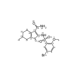 COc1ccc(Br)cc1S(=O)(=O)Nc1sc2c(c1C(N)=O)CCC(C)C2